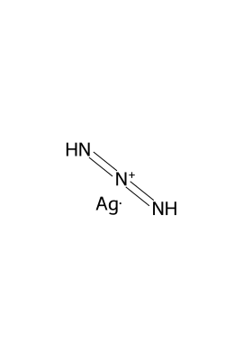 N=[N+]=N.[Ag]